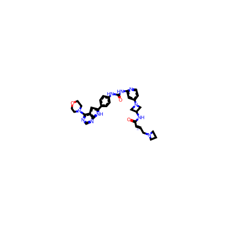 O=C(/C=C/CN1CCC1)NC1CN(c2ccnc(NC(=O)Nc3ccc(-c4cc5c(N6CCOCC6)ncnc5[nH]4)cc3)c2)C1